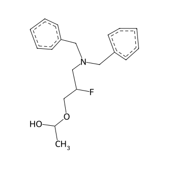 CC(O)OCC(F)CN(Cc1ccccc1)Cc1ccccc1